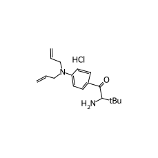 C=CCN(CC=C)c1ccc(C(=O)C(N)C(C)(C)C)cc1.Cl